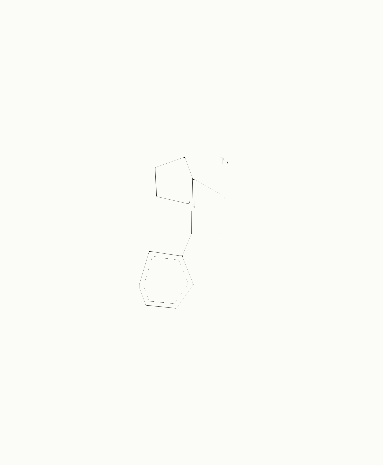 C[C@H](c1ccccc1)N1CCC[C@]1(C)C#N